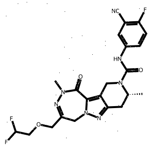 C[C@@H]1Cc2nn3c(c2CN1C(=O)Nc1ccc(F)c(C#N)c1)C(=O)N(C)N=C(COCC(F)F)C3